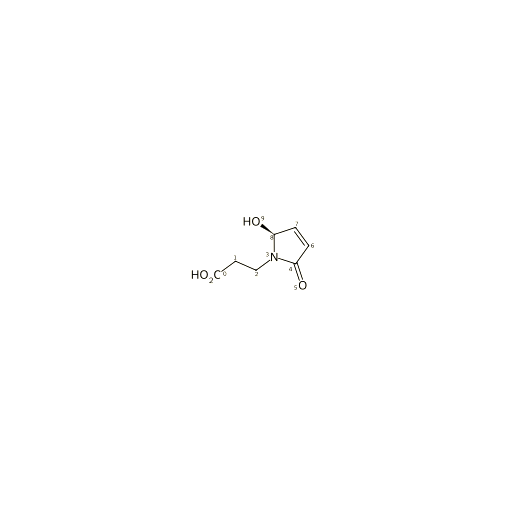 O=C(O)CCN1C(=O)C=C[C@@H]1O